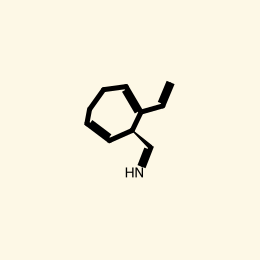 C=CC1=CCCC=C[C@@H]1C=N